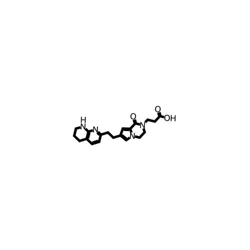 O=C(O)CCN1CCn2cc(CCc3ccc4c(n3)NCCC4)cc2C1=O